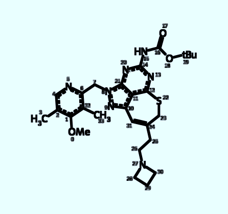 COc1c(C)cnc(Cn2nc3c4c(nc(NC(=O)OC(C)(C)C)nc42)SCC(CCN2CCC2)=C3)c1C